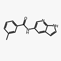 Cc1cccc(C(=O)Nc2cnc3[nH]ccc3c2)c1